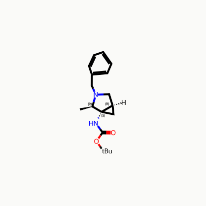 C[C@H]1N(Cc2ccccc2)C[C@H]2C[C@]21NC(=O)OC(C)(C)C